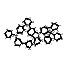 c1ccc(-c2cccc(N(c3ccccc3)c3ccc(-c4ccccc4-c4ccc5c6ccccc6n(-c6ccc7c(c6)C(c6ccccc6)(c6ccccc6)c6ccccc6-7)c5c4)cc3)c2)cc1